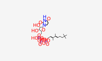 CC(=C\CCC(C)(C)C)/C(C)=C/COP(=O)(O)OP(=O)(O)OP(=O)(O)OCC1OC(n2ccc(=O)[nH]c2=O)C(O)C1O